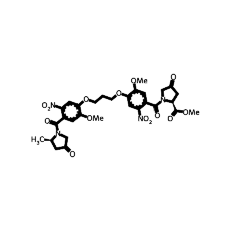 COC(=O)[C@@H]1CC(=O)CN1C(=O)c1cc(OC)c(OCCCOc2cc([N+](=O)[O-])c(C(=O)N3CC(=O)C[C@H]3C)cc2OC)cc1[N+](=O)[O-]